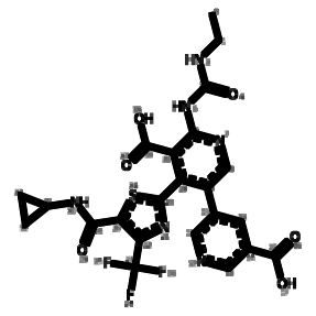 CCNC(=O)Nc1ncc(-c2cncc(C(=O)O)c2)c(-c2nc(C(F)(F)F)c(C(=O)NC3CC3)s2)c1C(=O)O